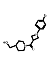 O=C(C1CN(c2ccc(Br)cc2)C1)N1CCC(CO)CC1